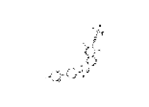 CC1COC(C2CC=C(C(F)(F)Oc3ccc4c(F)c(C#CC(F)(F)F)c(F)cc4c3)CC2)OC1